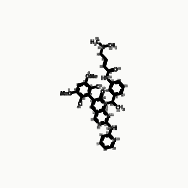 COc1cc(OC)c(Cl)c(-c2cc3cnc(Nc4ccccn4)nc3n(C(C)c3cccc(NC(=O)/C=C/CN(C)C)c3)c2=O)c1Cl